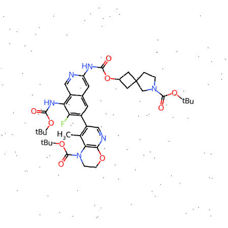 Cc1c(-c2cc3cc(NC(=O)OC4CC5(CCN(C(=O)OC(C)(C)C)C5)C4)ncc3c(NC(=O)OC(C)(C)C)c2F)cnc2c1N(C(=O)OC(C)(C)C)CCO2